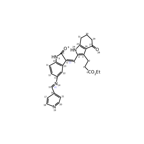 CCOC(=O)CCc1c(/C=C2\C(=O)Nc3ccc(/N=C/c4ccncc4)cc32)[nH]c2c1C(=O)CCC2